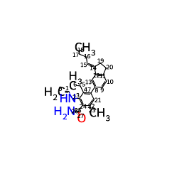 C=CNc1c(CC)c(-c2ccc3c(c2)/C(=C/CCC)CC3)cc(C)c1C(N)=O